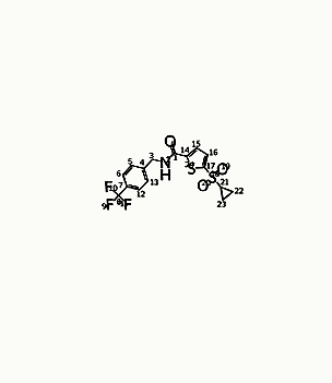 O=C(NCc1ccc(C(F)(F)F)cc1)c1ccc(S(=O)(=O)C2CC2)s1